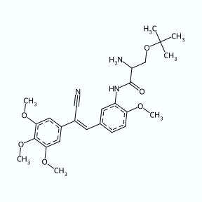 COc1ccc(C=C(C#N)c2cc(OC)c(OC)c(OC)c2)cc1NC(=O)C(N)COC(C)(C)C